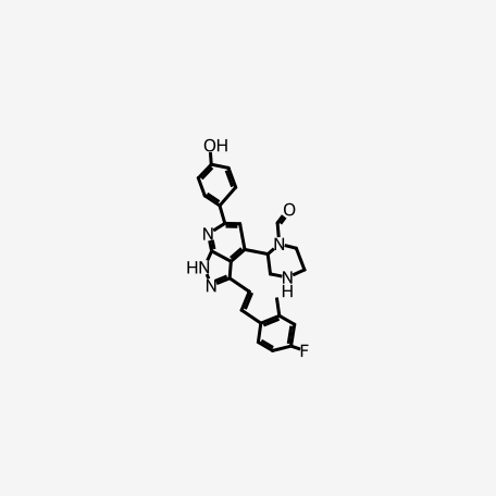 Cc1cc(F)ccc1C=Cc1n[nH]c2nc(-c3ccc(O)cc3)cc(C3CNCCN3C=O)c12